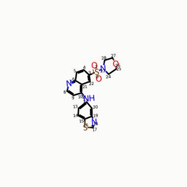 O=S(=O)(c1ccc2nccc(Nc3ccc4scnc4c3)c2c1)N1CCOCC1